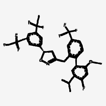 COc1cc(F)c(C(C)C)cc1-c1ccc(C(F)(F)F)cc1CC1=NO[C@H](c2cc(C(C)(F)F)cc(C(F)(F)F)c2)C1